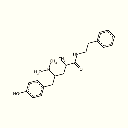 CN(CC(Cc1ccc(O)cc1)N(C)C)C(=O)NCCc1ccccc1